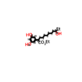 CCOC(=O)C(CCCCCCCC(O)CC)c1cc(O)cc(O)c1